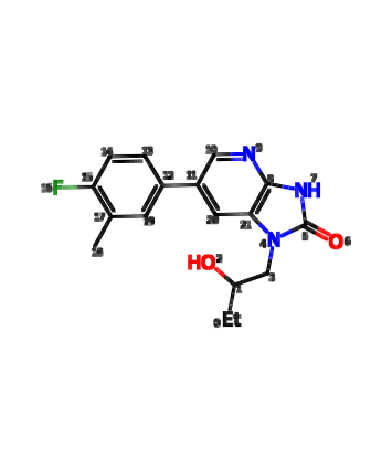 CCC(O)Cn1c(=O)[nH]c2ncc(-c3ccc(F)c(C)c3)cc21